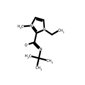 CCn1cc[n+](C)c1/C([O-])=N/C(C)(C)C